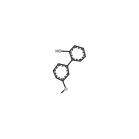 COc1cccc(-c2ccccc2O)c1